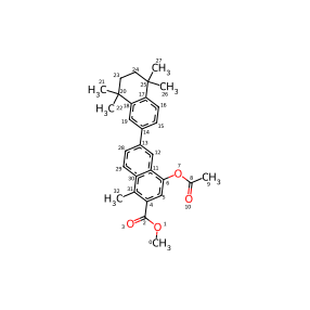 COC(=O)c1cc(OC(C)=O)c2cc(-c3ccc4c(c3)C(C)(C)CCC4(C)C)ccc2c1C